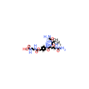 CC(C)C(NC(=O)CN)C(=O)N[C@@H](CCCNC(N)=O)C(=O)Nc1ccc(COC(=O)NCCNC(=O)O)cc1